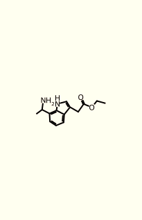 CCOC(=O)Cc1c[nH]c2c(C(C)N)cccc12